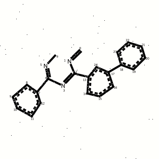 C=N/C(=N\C(=N/C)c1ccccc1)c1cccc(-c2ccccc2)c1